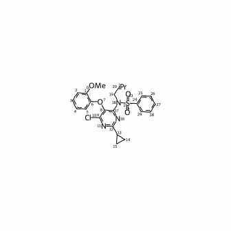 COc1ccccc1Oc1c(Cl)nc(C2CC2)nc1N(CC(C)C)S(=O)(=O)c1ccccc1